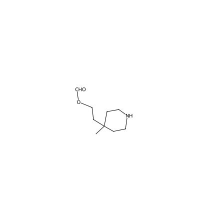 CC1(CCOC=O)CCNCC1